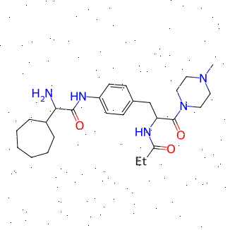 CCC(=O)NC(Cc1ccc(NC(=O)C(N)C2CCCCCC2)cc1)C(=O)N1CCN(C)CC1